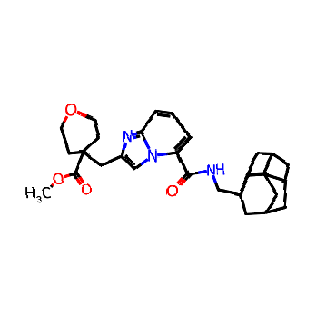 COC(=O)C1(Cc2cn3c(C(=O)NCC45CC6CC7CC(C4)C7(C6)C5)cccc3n2)CCOCC1